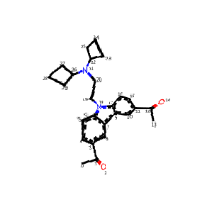 CC(=O)c1ccc2c(c1)c1cc(C(C)=O)ccc1n2CCN(C1CCC1)C1CCC1